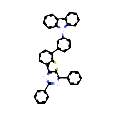 c1ccc(-c2nc(-c3ccccc3)c3sc4c(-c5cccc(-n6c7ccccc7c7ccccc76)c5)cccc4c3n2)cc1